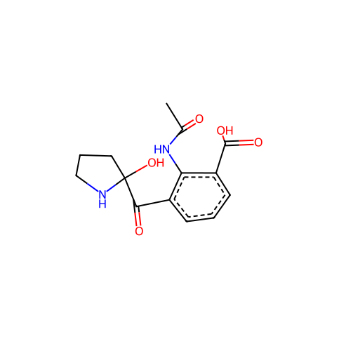 CC(=O)Nc1c(C(=O)O)cccc1C(=O)C1(O)CCCN1